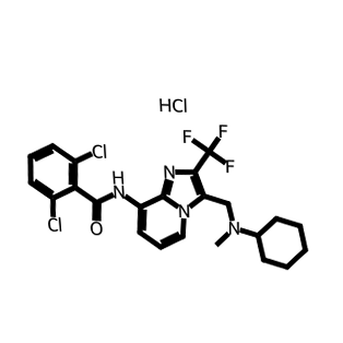 CN(Cc1c(C(F)(F)F)nc2c(NC(=O)c3c(Cl)cccc3Cl)cccn12)C1CCCCC1.Cl